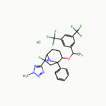 CC(OC1CCC2NC1(c1ccccc1)CC2(F)c1nnn(C)n1)c1cc(C(F)(F)F)cc(C(F)(F)F)c1.Cl